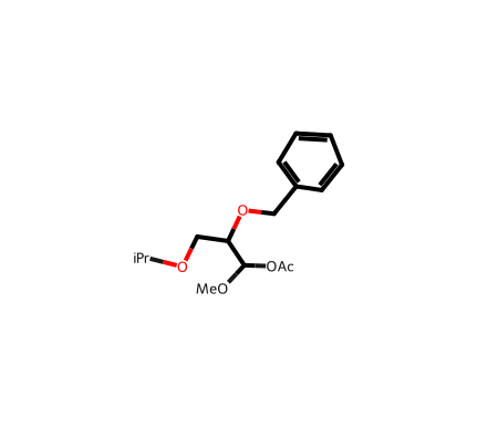 COC(OC(C)=O)C(COC(C)C)OCc1ccccc1